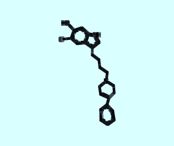 Oc1cc2[nH]cc(CCCCN3CC=C(c4ccccc4)CC3)c2cc1Cl